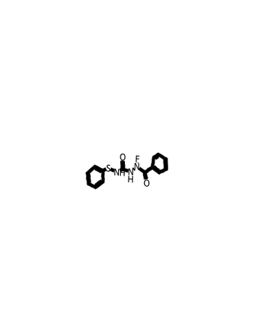 O=C(NSc1ccccc1)NN(F)C(=O)c1ccccc1